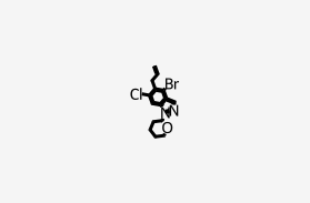 C=CCc1c(Cl)cc2c(cnn2C2CCCCO2)c1Br